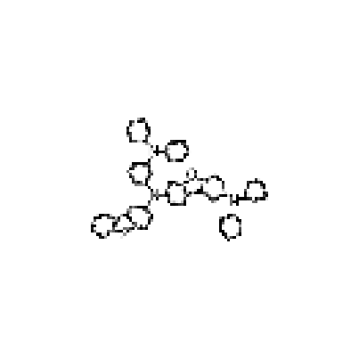 c1ccc(N(c2ccccc2)c2cccc(N(c3ccc4c(c3)oc3ccc(N(c5ccccc5)c5ccccc5)cc34)c3ccc4sc5ccccc5c4c3)c2)cc1